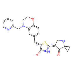 O=C1/C(=c2\[nH]c(=O)/c(=C/c3ccc4c(c3)N(Cc3ccccn3)CCO4)s2)CNC12CC2